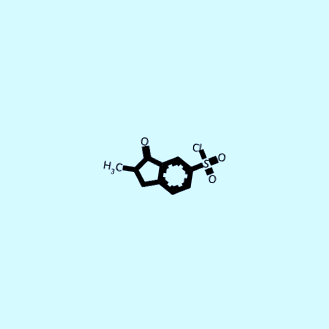 CC1Cc2ccc(S(=O)(=O)Cl)cc2C1=O